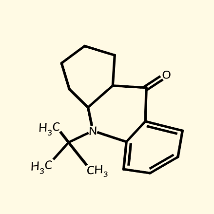 CC(C)(C)N1c2ccccc2C(=O)C2CCCCC21